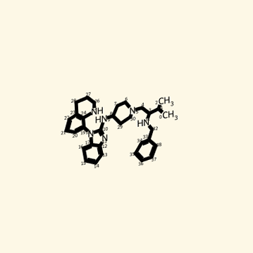 CC(C)C(CN1CCC(Nc2nc3ccccc3n2-c2cccc3c2NCCC3)CC1)NCc1ccccc1